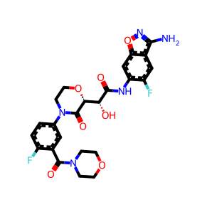 Nc1noc2cc(NC(=O)[C@H](O)[C@H]3OCCN(c4ccc(F)c(C(=O)N5CCOCC5)c4)C3=O)c(F)cc12